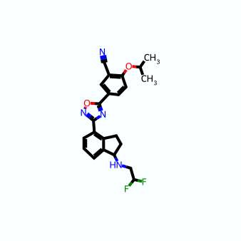 CC(C)Oc1ccc(-c2nc(-c3cccc4c3CCC4NCC(F)F)no2)cc1C#N